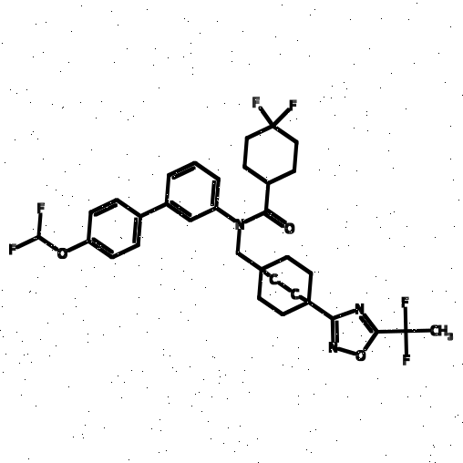 CC(F)(F)c1nc(C23CCC(CN(C(=O)C4CCC(F)(F)CC4)c4cccc(-c5ccc(OC(F)F)cc5)c4)(CC2)CC3)no1